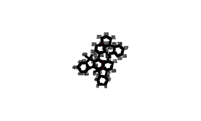 CC1(C)c2ccccc2-c2ccc(N(c3ccccc3-c3ccccc3)c3ccccc3-c3cccc4c3C(C)(C)c3ccccc3-4)cc21